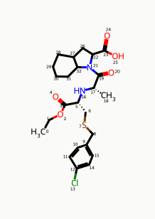 CCOC(=O)[C@@H](CSCc1ccc(Cl)cc1)N[C@@H](C)C(=O)N1C(C(=O)O)CC2CCCCC21